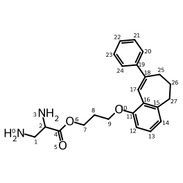 NCC(N)C(=O)OCCCOc1cccc2c1C=C(c1ccccc1)CCC2